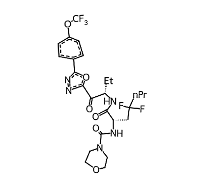 CCCC(F)(F)C[C@H](NC(=O)N1CCOCC1)C(=O)N[C@@H](CC)C(=O)c1nnc(-c2ccc(OC(F)(F)F)cc2)o1